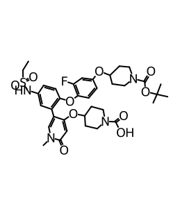 CCS(=O)(=O)Nc1ccc(Oc2ccc(OC3CCN(C(=O)OC(C)(C)C)CC3)cc2F)c(-c2cn(C)c(=O)cc2OC2CCN(C(=O)O)CC2)c1